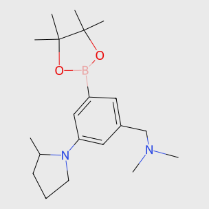 CC1CCCN1c1cc(CN(C)C)cc(B2OC(C)(C)C(C)(C)O2)c1